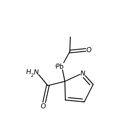 C[C](=O)[Pb][C]1(C(N)=O)C=CC=N1